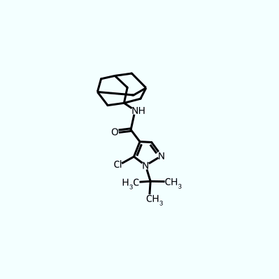 CC(C)(C)n1ncc(C(=O)NC23CC4CC(CC(C4)C2)C3)c1Cl